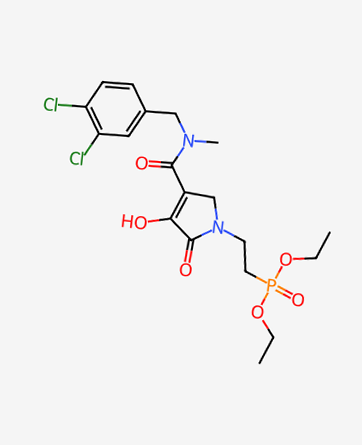 CCOP(=O)(CCN1CC(C(=O)N(C)Cc2ccc(Cl)c(Cl)c2)=C(O)C1=O)OCC